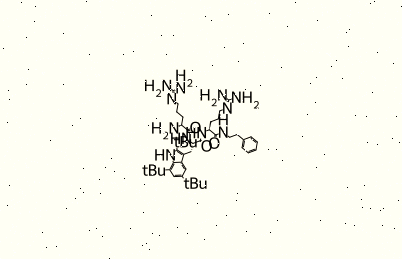 CC(C)(C)c1cc(C(C)(C)C)c2[nH]c(C(C)(C)C)c(C[C@H](NC(=O)[C@@H](N)CCCN=C(N)N)C(=O)N[C@@H](CCCN=C(N)N)C(=O)NCCc3ccccc3)c2c1